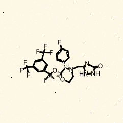 C[C@](I)(O[C@H]1OCCN(Cc2nc(=O)[nH][nH]2)[C@H]1c1ccc(F)cc1)c1cc(C(F)(F)F)cc(C(F)(F)F)c1